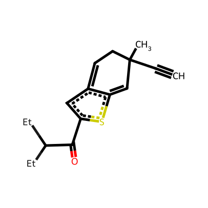 C#CC1(C)C=c2sc(C(=O)C(CC)CC)cc2=CC1